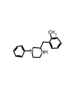 Cc1ccccc1CC1CN(c2ccccc2)CCN1